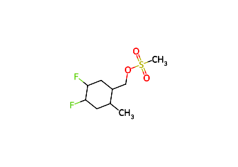 CC1CC(F)C(F)CC1COS(C)(=O)=O